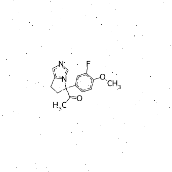 COc1ccc(C2(C(C)=O)CCc3cncn32)cc1F